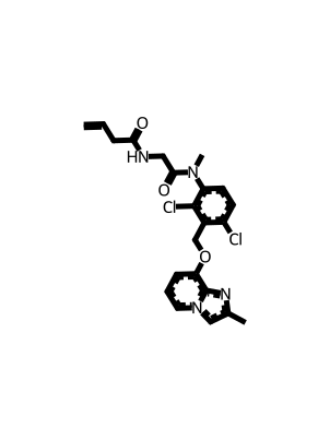 C=CCC(=O)NCC(=O)N(C)c1ccc(Cl)c(COc2cccn3cc(C)nc23)c1Cl